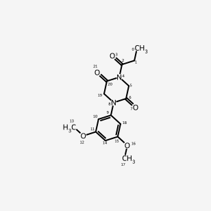 CCC(=O)N1CC(=O)N(c2cc(OC)cc(OC)c2)CC1=O